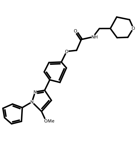 COc1cc(-c2ccc(OCC(=O)NCC3CCOCC3)cc2)nn1-c1ccccc1